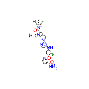 Cn1c(C(=O)N2CC(C)(F)C2)cc2c1CN(c1nccc(Nc3ccc(Oc4ncccc4C(N)=O)c(F)c3)n1)CC2